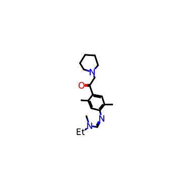 CCN(C)/C=N\c1cc(C)c(C(=O)CN2CCCCC2)cc1C